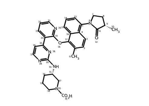 Cc1ccc2c(N3CC[C@H](C)C3=O)cccc2c1Oc1ncccc1-c1ccnc(N[C@H]2CCCN(C(=O)O)C2)n1